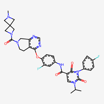 CC(C)n1cc(C(=O)Nc2ccc(Oc3ncnc4c3CCN(C(=O)N3CC5(CN(C)C5)C3)C4)c(F)c2)c(=O)n(-c2ccc(F)cc2)c1=O